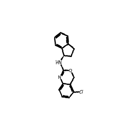 Clc1cccc2c1COC(N[C@@H]1CCc3ccccc31)=N2